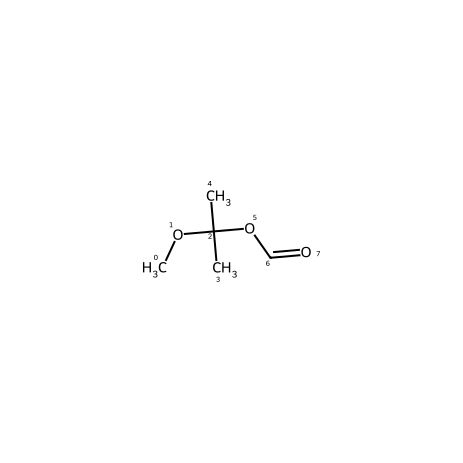 COC(C)(C)OC=O